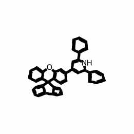 C1=C(c2ccc3c(c2)Oc2ccccc2C32c3ccccc3-c3ccccc32)C=C(c2ccccc2)NC1c1ccccc1